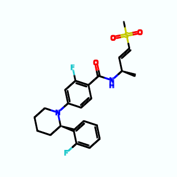 C[C@H](/C=C/S(C)(=O)=O)NC(=O)c1ccc(N2CCCC[C@@H]2c2ccccc2F)cc1F